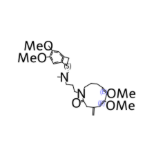 C=C1/C=C(OC)\C(OC)=C/CCCN(CCCN(C)C[C@H]2Cc3cc(OC)c(OC)cc32)C(=O)C1